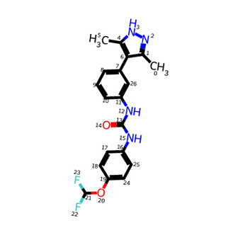 Cc1n[nH]c(C)c1-c1cccc(NC(=O)Nc2ccc(OC(F)F)cc2)c1